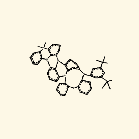 CC(C)(C)c1cc(N2c3ccc4c(c3)N(c3ccccc3Oc3ccccc32)c2cccc3c2B4c2cccc4c2N3c2ccccc2[Si]4(C)C)cc(C(C)(C)C)c1